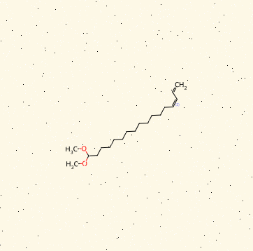 C=C/C=C\CCCCCCCCCCCCC(OC)OC